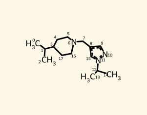 CC(C)C1CCN(Cc2cnn(C(C)C)c2)CC1